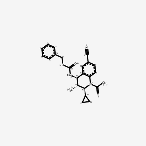 CC(=O)N1c2ccc(C#N)cc2[C@H](NC(=O)OCc2ccccc2)[C@@H](C)[C@@H]1C1CC1